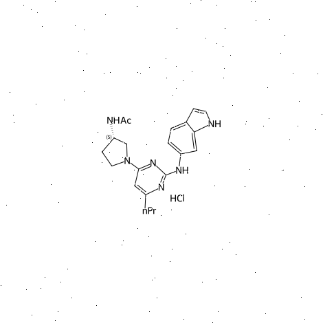 CCCc1cc(N2CC[C@H](NC(C)=O)C2)nc(Nc2ccc3cc[nH]c3c2)n1.Cl